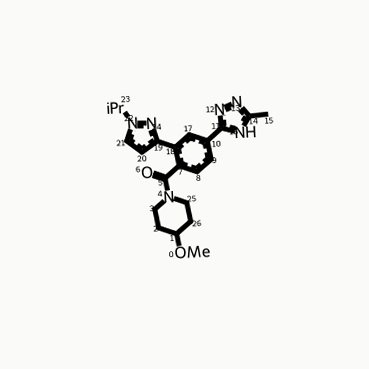 COC1CCN(C(=O)c2ccc(-c3nnc(C)[nH]3)cc2-c2ccn(C(C)C)n2)CC1